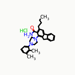 CCCCc1cc2c(c(N3CCN(c4cccc(C)c4C)CC3)c1C(N)=O)Cc1ccccc1-2.Cl